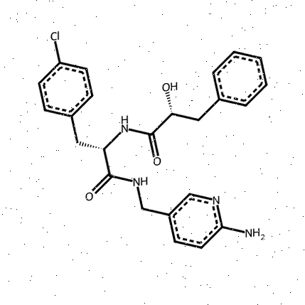 Nc1ccc(CNC(=O)[C@H](Cc2ccc(Cl)cc2)NC(=O)[C@H](O)Cc2ccccc2)cn1